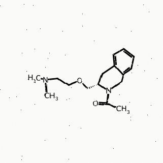 CC(=O)N1Cc2ccccc2C[C@H]1COCCN(C)C